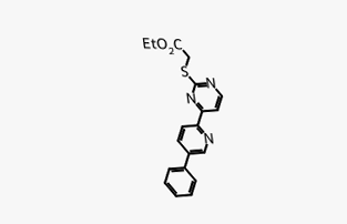 CCOC(=O)CSc1nccc(-c2ccc(-c3ccccc3)cn2)n1